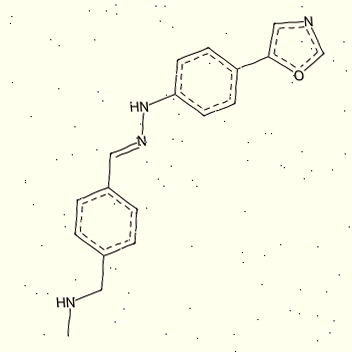 CNCc1ccc(/C=N/Nc2ccc(-c3cnco3)cc2)cc1